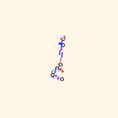 Cc1c(OCCCN2CCN(CC(=O)Nc3cccc4c(C5CCC(=O)NC5=O)nn(C)c34)CC2)cccc1-c1ccc(N2CCc3cccc(C(=O)Nc4nc5ccccc5s4)c3C2)nc1C(=O)OC(C)(C)C